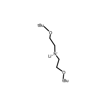 CC(C)(C)OCC[N-]CCOC(C)(C)C.[Li+]